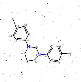 Cc1ccc(N2[C]N(c3ccc(C)cc3)CCC2)cc1